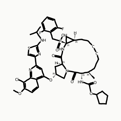 COc1ccc2c(O[C@@H]3C[C@H]4C(=O)N[C@]5(P(=O)(O)Cc6c(F)cccc6F)C[C@H]5CCCCCC[C@@H](C)[C@H](NC(=O)OC5CCCC5)C(=O)N4C3)cc(-c3csc(NC(C)C)n3)nc2c1Cl